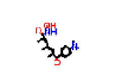 CC(=C\C(C)C(=O)c1ccc(N(C)C)cc1)/C=C(\C)C(=O)NO